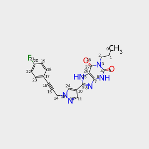 CCCn1c(=O)[nH]c2nc(-c3cnn(CC#Cc4ccc(F)cc4)c3)[nH]c2c1=O